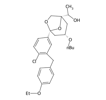 CCCCO[C@@H]1C[C@@]2(c3ccc(Cl)c(Cc4ccc(OCC)cc4)c3)OC[C@@](C(C)O)(C1)O2